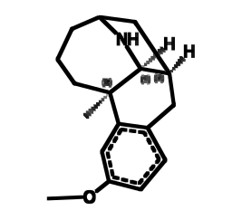 COc1ccc2c(c1)[C@@]1(C)CCCC3C[C@@H](C2)[C@@H]1N3